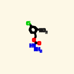 NNC(=O)OCc1ccc(Cl)cc1[N+](=O)[O-]